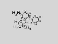 CC(C)(C)Cc1cc(N)ccc1-c1ccccc1